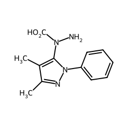 Cc1nn(-c2ccccc2)c(N(N)C(=O)O)c1C